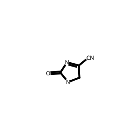 N#CC1=NC(=O)[N]C1